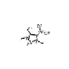 [CH2]n1nc(C)c([N+](=O)[O-])c1C